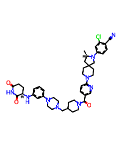 C[C@@H]1CC2(CCN(c3ccc(C(=O)N4CCC(CN5CCN(c6cccc(N[C@@H]7CCC(=O)NC7=O)c6)CC5)CC4)cn3)CC2)CN1c1ccc(C#N)c(Cl)c1